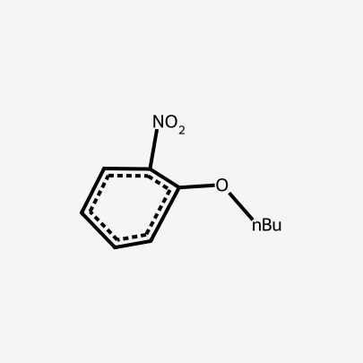 [CH2]CCCOc1ccccc1[N+](=O)[O-]